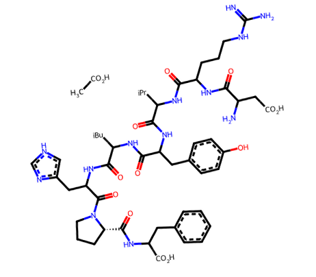 CC(=O)O.CCC(C)C(NC(=O)C(Cc1ccc(O)cc1)NC(=O)C(NC(=O)C(CCCNC(=N)N)NC(=O)C(N)CC(=O)O)C(C)C)C(=O)NC(Cc1c[nH]cn1)C(=O)N1CCC[C@H]1C(=O)NC(Cc1ccccc1)C(=O)O